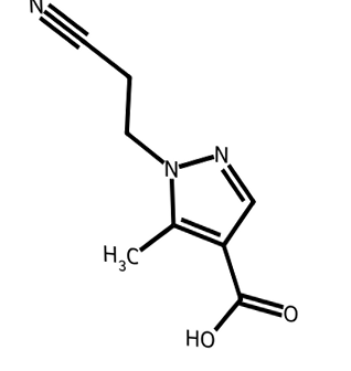 Cc1c(C(=O)O)cnn1CCC#N